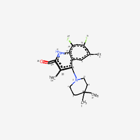 CCc1cc2c(N3CCC(C)(OC)CC3)c(C#N)c(=O)[nH]c2c(F)c1F